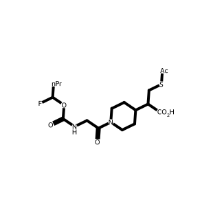 CCCC(F)OC(=O)NCC(=O)N1CCC(C(CSC(C)=O)C(=O)O)CC1